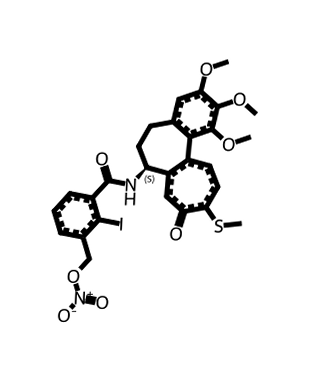 COc1cc2c(c(OC)c1OC)-c1ccc(SC)c(=O)cc1[C@@H](NC(=O)c1cccc(CO[N+](=O)[O-])c1I)CC2